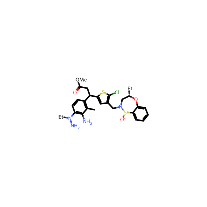 CC[C@@H]1CN(Cc2cc(C(CC(=O)OC)c3ccc(N(N)CC)c(N)c3C)sc2Cl)[S+]([O-])c2ccccc2O1